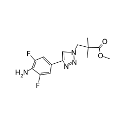 COC(=O)C(C)(C)Cn1cc(-c2cc(F)c(N)c(F)c2)nn1